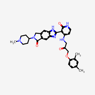 Cc1ccc(OCC(=O)CNc2cc[nH]c(=O)c2-c2nc3cc4c(cc3[nH]2)CN(C2CCN(C)CC2)C4=O)c(C)c1